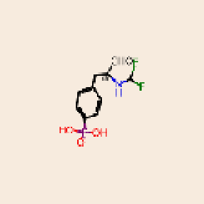 O=[C][C@H](Cc1ccc(P(=O)(O)O)cc1)NC(F)F